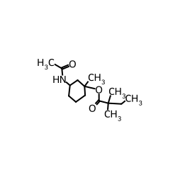 CCC(C)(C)C(=O)OC1(C)CCCC(NC(C)=O)C1